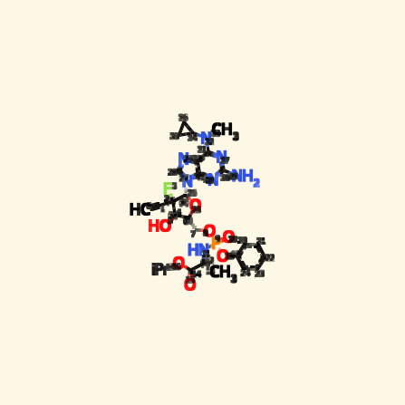 C#C[C@@]1(F)[C@H](O)[C@@H](COP(=O)(N[C@H](C)C(=O)OC(C)C)Oc2ccccc2)O[C@H]1n1cnc2c(N(C)C3CC3)nc(N)nc21